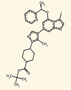 Cc1c(-c2cc(O[C@H](C)c3ccccn3)n3c(I)cnc3c2)cnn1C1CCN(C(=O)OC(C)(C)C)CC1